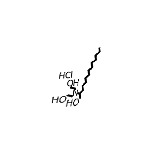 CCCCCCCCCCCCC(CO)N(CCO)CCO.Cl